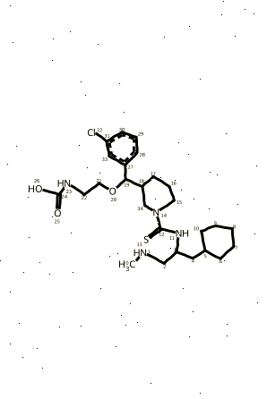 CNCC(CC1CCCCC1)NC(=S)N1CCCC(C(OCCNC(=O)O)c2cccc(Cl)c2)C1